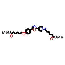 COC(=O)CCCCCOc1ccc(-c2cnc(-c3cc[n+](CCCCCC(=O)OC)cc3)o2)cc1